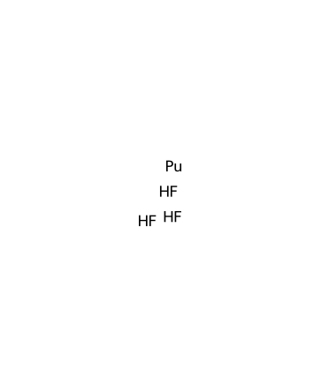 F.F.F.[Pu]